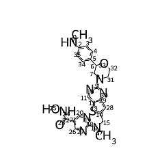 CNc1ccc(C2CN(c3ncc4sc(CN(C)c5ncc(C(=O)NO)cn5)cc4n3)CCO2)cc1